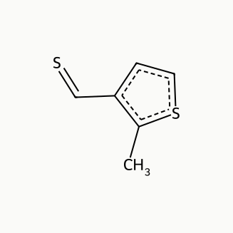 Cc1sccc1C=S